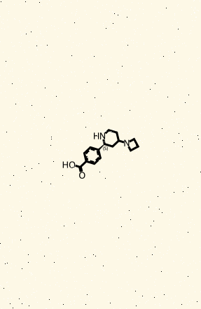 O=C(O)c1ccc([C@@H]2CC(N3CCC3)CCN2)cc1